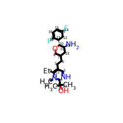 CC/C(=C(/C=N)CCC1CO[C@H](C2CC(F)=CC=C2F)[C@@H](N)C1)N(C)CC(C)(C)O